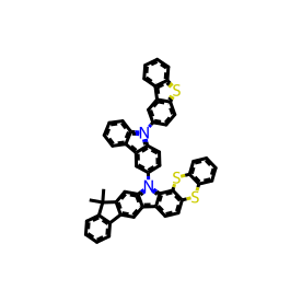 CC1(C)c2ccccc2-c2cc3c4ccc5c(c4n(-c4ccc6c(c4)c4ccccc4n6-c4ccc6sc7ccccc7c6c4)c3cc21)Sc1ccccc1S5